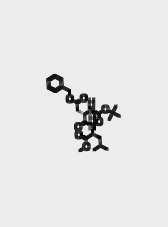 COC(=O)[C@H](CC(C)C)NC(=O)[C@H](CC(=O)OCc1ccccc1)NC(=O)OC(C)(C)C